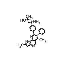 Cc1cc2ncc3c(C)c(-c4ccccc4)c(-c4ccc(C5(N)CC(C)(O)C5)cc4)nc3n2n1